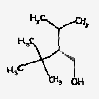 CC(C)[C@H](CO)C(C)(C)C